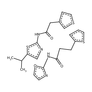 CC(C)c1cnc(NC(=O)Cc2ccsc2)s1.O=C(CCc1cccs1)Nc1ncco1